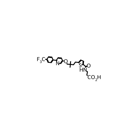 CC(C)(CCc1ccc(C(=O)NCCC(=O)O)s1)COc1ccc(-c2ccc(C(F)(F)F)cc2)nc1